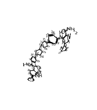 NC(=O)c1ncc(-n2cccn2)nc1Nc1ccc(C2CCN(CC3CCN(c4ccc5c(c4)C(=O)N(C4CCC(=O)NC4=O)C5O)C3)CC2)cc1